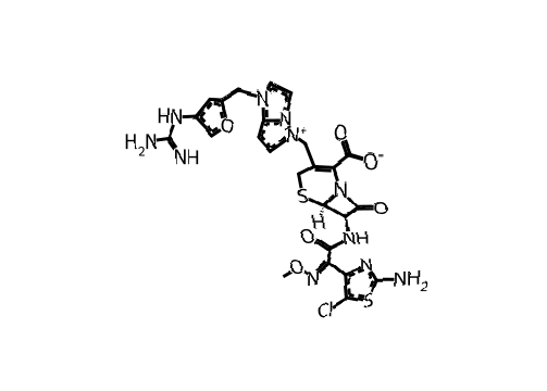 CO/N=C(\C(=O)N[C@@H]1C(=O)N2C(C(=O)[O-])=C(C[n+]3ccc4n(Cc5cc(NC(=N)N)co5)ccn43)CS[C@H]12)c1nc(N)sc1Cl